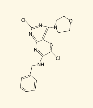 Clc1nc(N2CCOCC2)c2nc(Cl)c(NCc3ccccc3)nc2n1